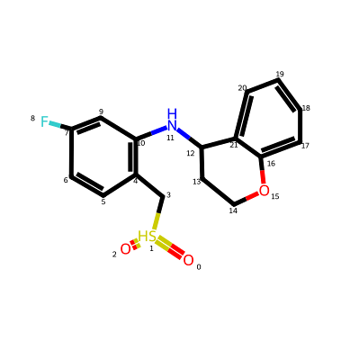 O=[SH](=O)Cc1ccc(F)cc1NC1CCOc2ccccc21